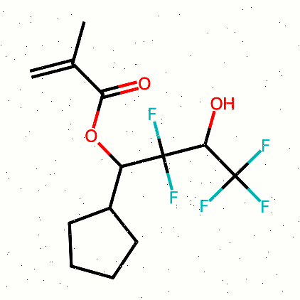 C=C(C)C(=O)OC(C1CCCC1)C(F)(F)C(O)C(F)(F)F